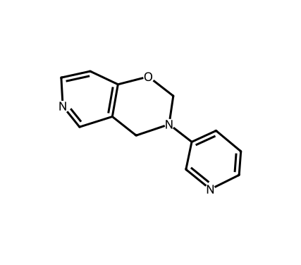 c1cncc(N2COc3ccncc3C2)c1